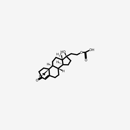 C#C[C@]12CCC(=O)C=C1CC[C@@H]1[C@@H]2CC[C@@]2(C)[C@H]1CC[C@@]2(O)CCOC(=O)O